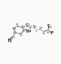 N#Cc1ccc2sc(SCCC=C(F)F)nc2c1